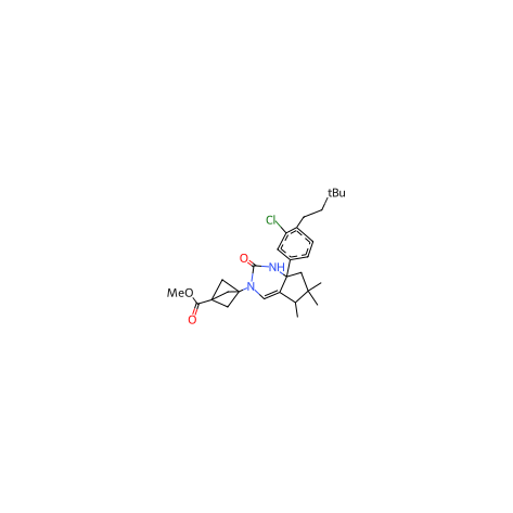 COC(=O)C12CC(N3C=C4C(C)C(C)(C)CC4(c4ccc(CCC(C)(C)C)c(Cl)c4)NC3=O)(C1)C2